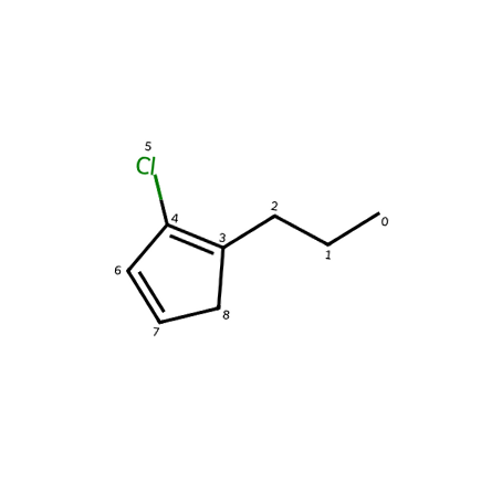 CCCC1=C(Cl)C=CC1